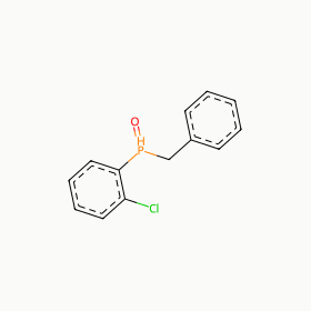 O=[PH](Cc1ccccc1)c1ccccc1Cl